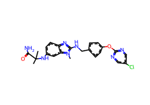 Cn1c(NCc2ccc(Oc3ncc(Cl)cn3)cc2)nc2ccc(NC(C)(C)C(N)=O)cc21